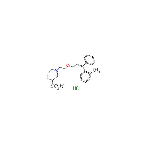 Cc1ccccc1/C(=C\COCCN1CCCC(C(=O)O)C1)c1ccccc1.Cl